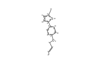 CC=CCOc1ccc(-c2nnc(C)s2)cc1